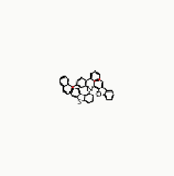 c1ccc(-c2ccc(-c3cccc4ccccc34)cc2N(c2cccc3c2oc2ccccc23)c2cccc3sc4ccccc4c23)cc1